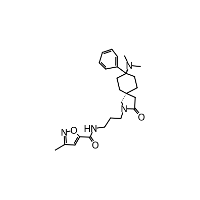 Cc1cc(C(=O)NCCCN2C[C@]3(CC[C@](c4ccccc4)(N(C)C)CC3)CC2=O)on1